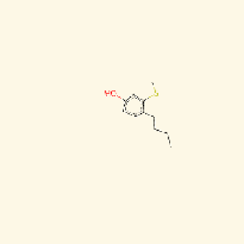 CCCCc1ccc(O)cc1SC